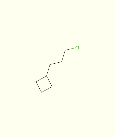 ClCCCC1CCC1